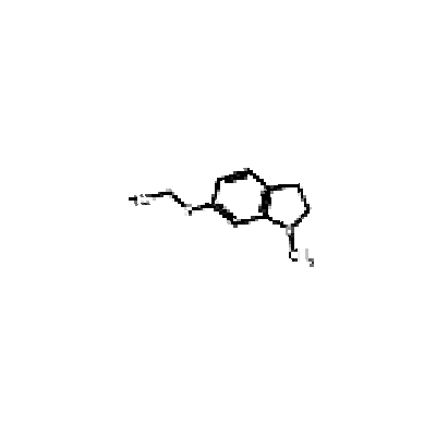 CB1CCc2ccc(SCO)cc21